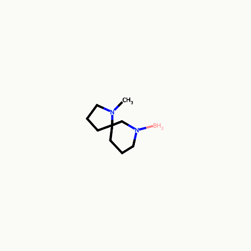 BN1CCCC2(CCCN2C)C1